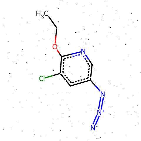 CCOc1ncc(N=[N+]=[N-])cc1Cl